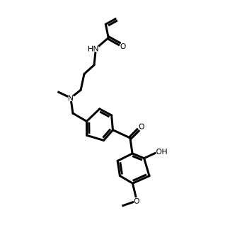 C=CC(=O)NCCCN(C)Cc1ccc(C(=O)c2ccc(OC)cc2O)cc1